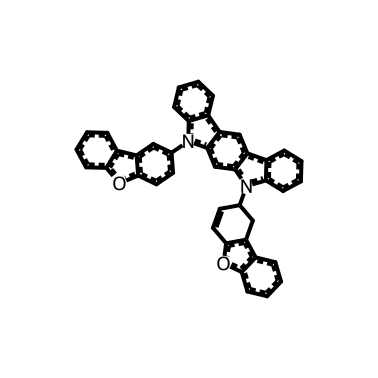 C1=CC(n2c3ccccc3c3cc4c5ccccc5n(-c5ccc6oc7ccccc7c6c5)c4cc32)Cc2c1oc1ccccc21